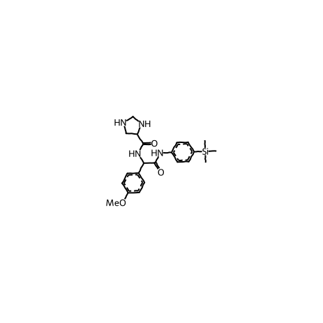 COc1ccc(C(NC(=O)C2CNCN2)C(=O)Nc2ccc([Si](C)(C)C)cc2)cc1